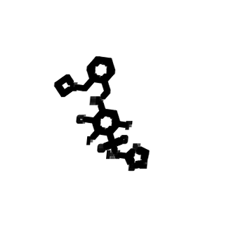 O=S(=O)(Nc1ncns1)c1c(F)cc(NCc2ccccc2CN2CCC2)c(Cl)c1F